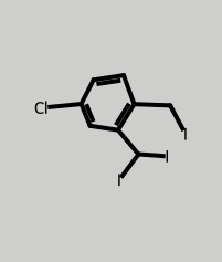 Clc1ccc(CI)c(C(I)I)c1